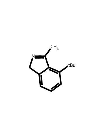 CC1=NCc2cccc(C(C)(C)C)c21